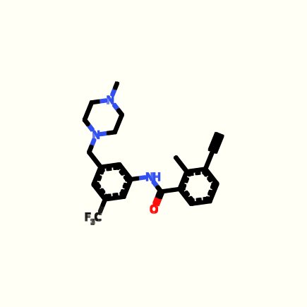 C#Cc1cccc(C(=O)Nc2cc(CN3CCN(C)CC3)cc(C(F)(F)F)c2)c1C